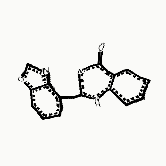 O=c1nc(-c2cccc3o[c]nc23)[nH]c2ccccc12